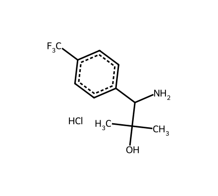 CC(C)(O)C(N)c1ccc(C(F)(F)F)cc1.Cl